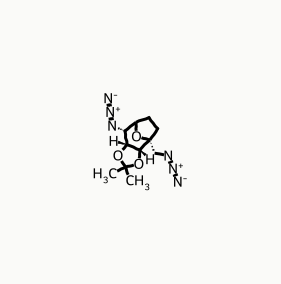 CC1(C)O[C@@H]2[C@H](N=[N+]=[N-])C3CC[C@](CN=[N+]=[N-])(O3)[C@@H]2O1